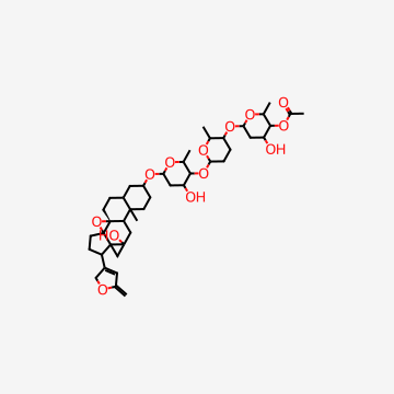 C=C1C=C(C2CCC34O[C@@]35CCC3CC(OC6CC(O)C(OC7CCC(OC8CC(O)C(OC(C)=O)C(C)O8)C(C)O7)C(C)O6)CCC3(C)C5CC3(O)CC234)CO1